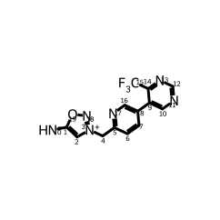 [NH-]c1c[n+](Cc2ccc(-c3cncnc3C(F)(F)F)cn2)no1